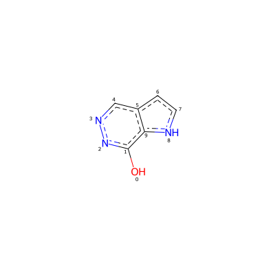 Oc1nncc2cc[nH]c12